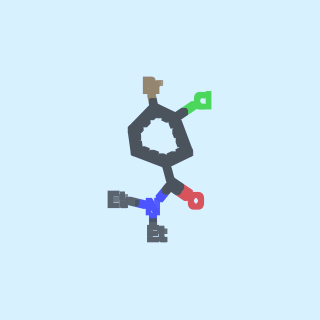 CCN(CC)C(=O)c1ccc(Br)c(Cl)c1